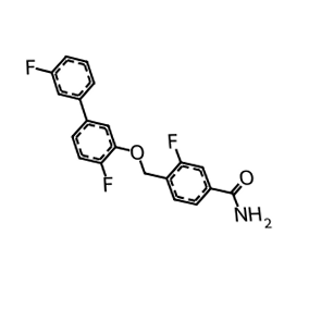 NC(=O)c1ccc(COc2cc(-c3cccc(F)c3)ccc2F)c(F)c1